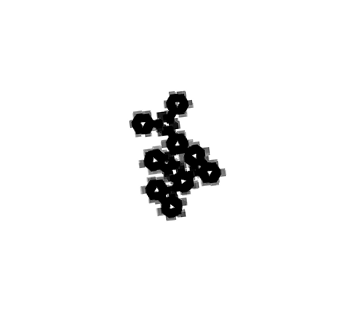 c1ccc(-c2nc(-c3ccccc3)nc(-c3cccc(-n4c5ccccc5c5nc6c(-n7c8ccccc8c8ccccc87)ccc(-n7c8ccccc8c8ccccc87)c6nc54)c3)n2)cc1